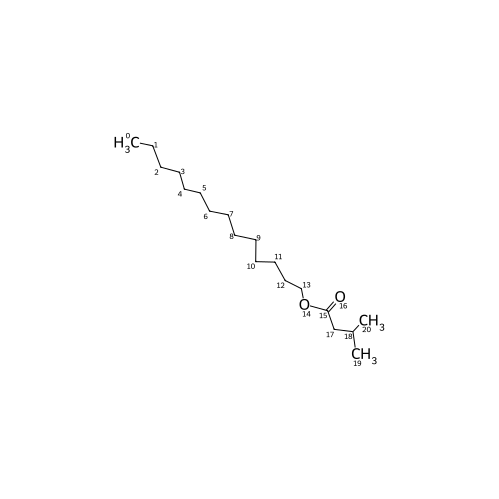 CCCCCCCCCCCCCCOC(=O)CC(C)C